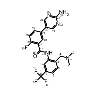 CN(C)Cc1ccc(C(F)(F)F)cc1NC(=O)c1cc(-c2cnc(N)nc2)ccc1F